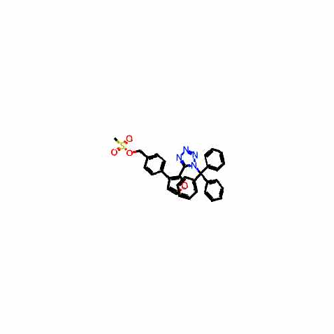 CS(=O)(=O)OCc1ccc(-c2ccoc2-c2nnnn2C(c2ccccc2)(c2ccccc2)c2ccccc2)cc1